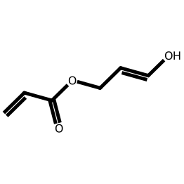 C=CC(=O)OCC=CO